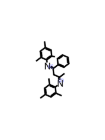 C/C(C/C(=N/c1c(C)cc(C)cc1C)c1ccccc1)=N/c1c(C)cc(C)cc1C